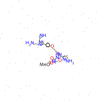 COSON1C(=O)C(NC(=O)/C(=N\OCCCCOc2ccc(-c3cn(CCCN)[n+](CC4CNC4)c3)cc2)c2csc(N)n2)C1(C)C